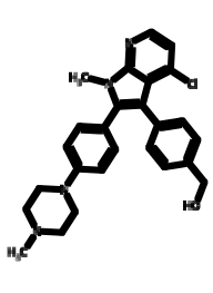 CN1CCN(c2ccc(-c3c(-c4ccc(CO)cc4)c4c(Cl)ccnc4n3C)cc2)CC1